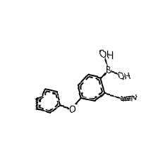 N#Cc1cc(Oc2ccccc2)ccc1B(O)O